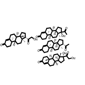 CC(=O)[C@@]1(O)CC[C@H]2[C@@H]3CCC4=CC(=O)CC[C@]4(C)[C@H]3CC[C@@]21C.CC(=O)[C@H]1CC[C@H]2[C@@H]3CCC4=CC(=O)CC[C@]4(C)[C@H]3CC[C@]12C.C[C@]12CCC(=O)C=C1CC[C@@H]1[C@@H]2CC[C@@]2(C)[C@H]1CC[C@]2(O)C(=O)CO.C[C@]12CC[C@H]3[C@@H](CCC4=CC(=O)CC[C@@]43C)[C@@H]1CC[C@@H]2C(=O)CO